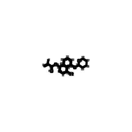 C=C(C)C(=O)Oc1ccc(CC)c2c(OC3CCCCO3)cccc12